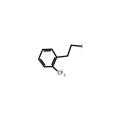 FC(F)(F)c1[c]cccc1CCI